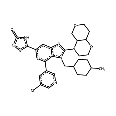 CC1CCC(Cn2c(N3CCOC4CCOCC43)nc3cc(-c4noc(=O)[nH]4)nc(-c4cncc(Cl)c4)c32)CC1